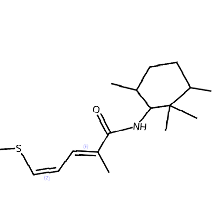 CS/C=C\C=C(/C)C(=O)NC1C(C)CCC(C)C1(C)C